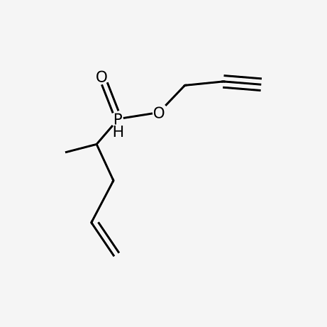 C#CCO[PH](=O)C(C)CC=C